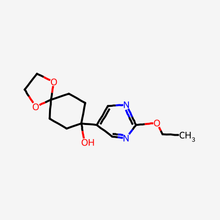 CCOc1ncc(C2(O)CCC3(CC2)OCCO3)cn1